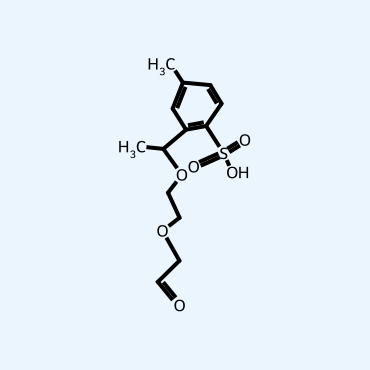 Cc1ccc(S(=O)(=O)O)c(C(C)OCCOCC=O)c1